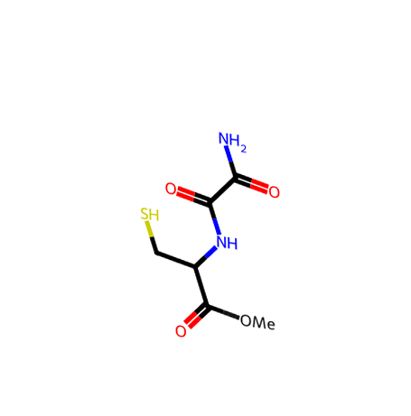 COC(=O)C(CS)NC(=O)C(N)=O